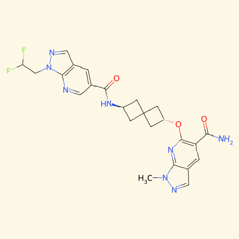 Cn1ncc2cc(C(N)=O)c(O[C@H]3CC4(C[C@H](NC(=O)c5cnc6c(cnn6CC(F)F)c5)C4)C3)nc21